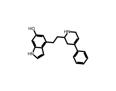 Oc1cc(CCC2CC(c3ccccc3)=CCN2)c2cc[nH]c2c1